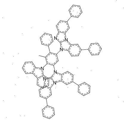 Cc1c(-c2ccccc2)c(-n2c3ccc(-c4ccccc4)cc3n3c4cc(-c5ccccc5)ccc4nc23)cc(-n2c3ccc(-c4ccccc4)cc3n3c4cc(-c5ccccc5)ccc4nc23)c1-n1c2ccccc2c2ccccc21